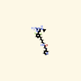 Nc1nc(NC2CC2)cc(-c2c(F)ccc(CCCCCNC(=O)/C=C/c3cccnc3)c2F)n1